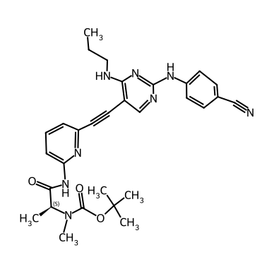 CCCNc1nc(Nc2ccc(C#N)cc2)ncc1C#Cc1cccc(NC(=O)[C@H](C)N(C)C(=O)OC(C)(C)C)n1